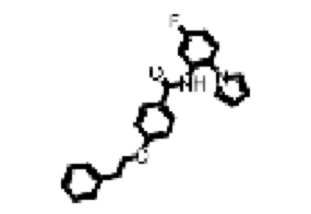 O=C(Nc1cc(F)ccc1-n1cccc1)c1ccc(OCCc2ccccc2)cc1